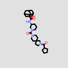 O=C(C1CCCC1)N1CCC2(CCN(C(=O)N3CCCC(NC(=O)C45CC6CC(C4)C(O)C(C6)C5)C3)CC2)C1